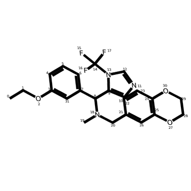 CCOc1cccc(C(c2cncn2C(F)(F)F)N(C)Cc2ccc3c(c2)OCCO3)c1